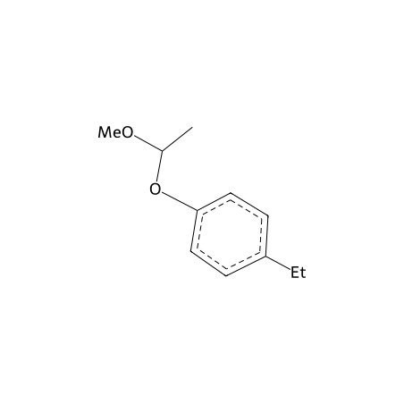 CCc1ccc(OC(C)OC)cc1